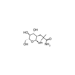 CCC[C@H]1O[C@H](CO)[C@@H](O)[C@H](O)[C@H]1CC(C)(C)C(N)=O